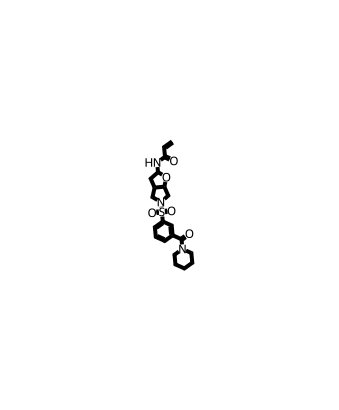 C=CC(=O)NC1CC2CN(S(=O)(=O)c3cccc(C(=O)N4CCCCC4)c3)CC2O1